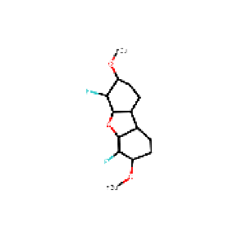 CCCCOC1CCC2C3CCC(OCCCC)C(F)C3OC2C1F